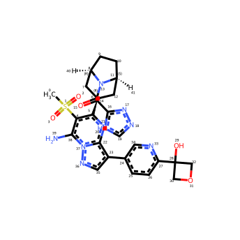 CS(=O)(=O)c1c([C@H]2C[C@H]3CC[C@@H](C2)N3C(=O)c2nnc[nH]2)nc2c(-c3ccc(C4(O)COC4)nc3)cnn2c1N